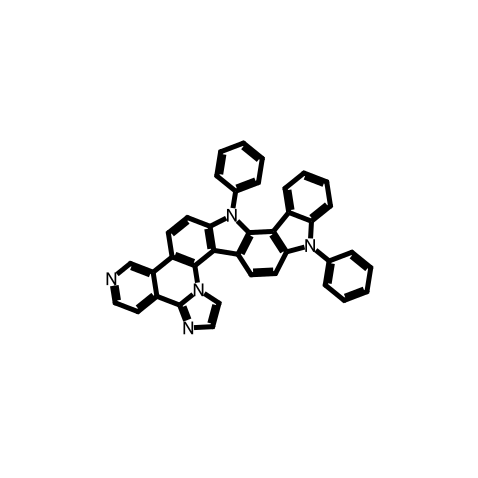 c1ccc(-n2c3ccccc3c3c2ccc2c4c(ccc5c6cnccc6c6nccn6c54)n(-c4ccccc4)c23)cc1